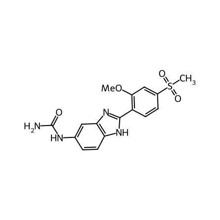 COc1cc(S(C)(=O)=O)ccc1-c1nc2cc(NC(N)=O)ccc2[nH]1